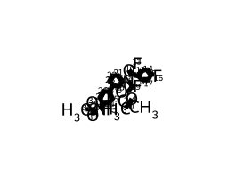 CC(C)(C)OC(=O)CN(C(=O)c1c(F)cc(F)cc1F)c1cccc(-c2ccc(NS(C)(=O)=O)cc2)c1